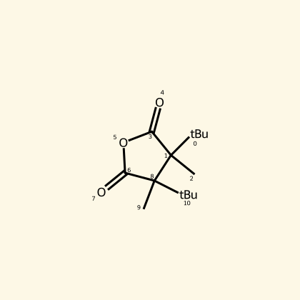 CC(C)(C)C1(C)C(=O)OC(=O)C1(C)C(C)(C)C